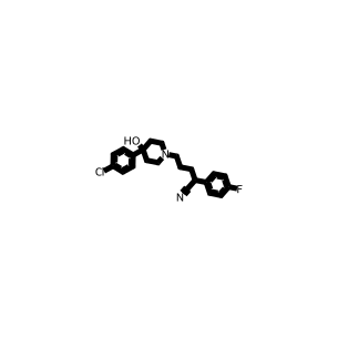 N#CC(CCCN1CCC(O)(c2ccc(Cl)cc2)CC1)c1ccc(F)cc1